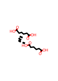 C=C.C=C.C=C.C=C.O=C(O)CCCCC(=O)O.O=C(O)CCCCC(=O)O